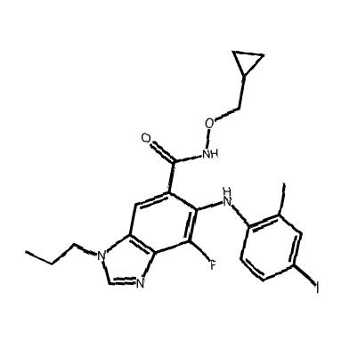 CCCn1cnc2c(F)c(Nc3ccc(I)cc3C)c(C(=O)NOCC3CC3)cc21